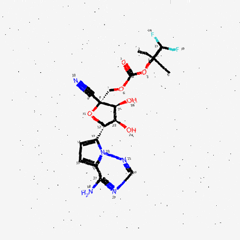 CC(C)(OC(=O)OC[C@@]1(C#N)O[C@@H](c2ccc3c(N)ncnn23)[C@H](O)[C@@H]1O)C(F)F